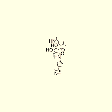 CC(=N)/C=C(\O)C(C(=O)C1C[C@H](O)C(F)[C@H]1C(=O)NCc1ccc(-c2scnc2C)cc1C)C(C)C